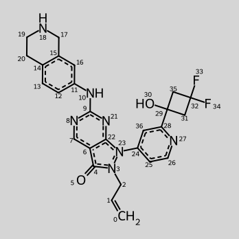 C=CCn1c(=O)c2cnc(Nc3ccc4c(c3)CNCC4)nc2n1-c1ccnc(C2(O)CC(F)(F)C2)c1